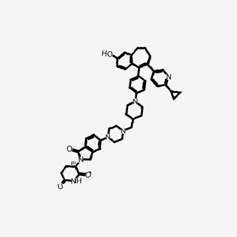 O=C1CC[C@@H](N2Cc3cc(N4CCN(CC5CCN(c6ccc(C7=C(c8ccc(C9CC9)nc8)CCCc8cc(O)ccc87)cc6)CC5)CC4)ccc3C2=O)C(=O)N1